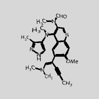 CC#C/C(=C\N(C)C)c1cc2c(N(C)c3c[nH]nc3C)c(N(C)C=O)cnc2cc1OC